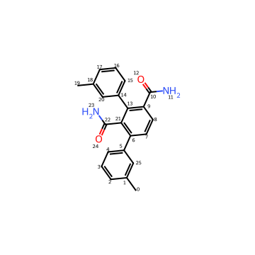 Cc1cccc(-c2ccc(C(N)=O)c(-c3cccc(C)c3)c2C(N)=O)c1